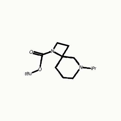 CC(C)N1CCCC2(CCN2C(=O)OC(C)(C)C)C1